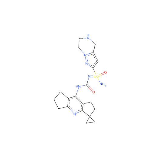 NS(=O)(=NC(=O)Nc1c2c(nc3c1CCC31CC1)CCC2)c1cc2n(n1)CCNC2